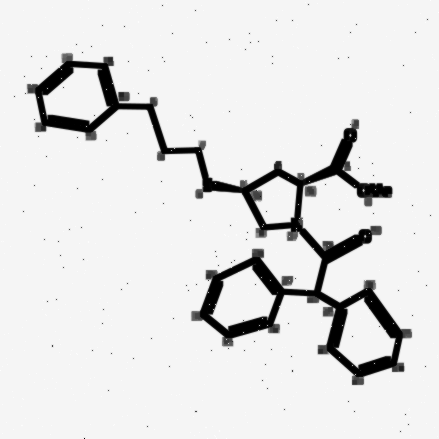 COC(=O)[C@@H]1C[C@H](SCCCc2ccccc2)CN1C(=O)C(c1ccccc1)c1ccccc1